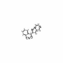 N#Cc1ccccc1C(=O)c1cc2cnccn2n1